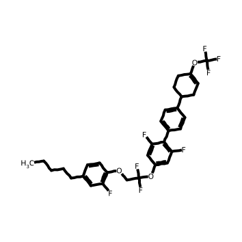 CCCCCc1ccc(OCC(F)(F)Oc2cc(F)c(-c3ccc(C4CC=C(OC(F)(F)F)CC4)cc3)c(F)c2)c(F)c1